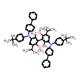 COc1c(C(C)C)cc(N(c2ccc(-c3ccccc3)cc2)c2ccc(C(C)(C)C)cc2)c(C)c1-c1c(C)c(N(c2ccc(-c3ccccc3)cc2)c2ccc(C(C)(C)C)cc2)cc(C(C)C)c1OC